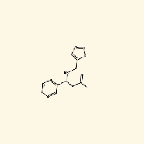 C=C(C)CC(NCc1ccco1)c1ccccc1